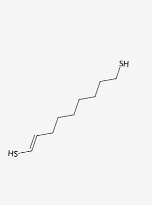 SC=CCCCCCCCS